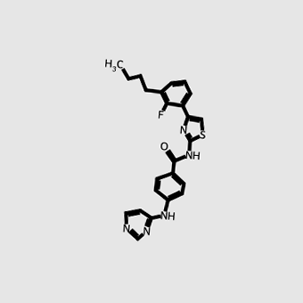 CCCCc1cccc(-c2csc(NC(=O)c3ccc(Nc4ccncn4)cc3)n2)c1F